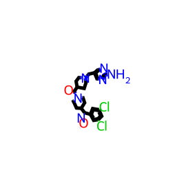 CO/N=C(\c1cc(Cl)cc(Cl)c1)C1CCN(C(=O)C2CCN(Cc3cnc(N)nc3)CC2)CC1